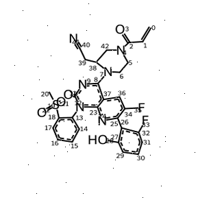 C=CC(=O)N1CCN(c2nc(=O)n(-c3ccccc3S(C)(=O)=O)c3nc(-c4c(O)cccc4F)c(F)cc23)C(CC#N)C1